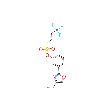 CCc1coc(-c2cccc(OS(=O)(=O)CCCC(F)(F)F)c2)n1